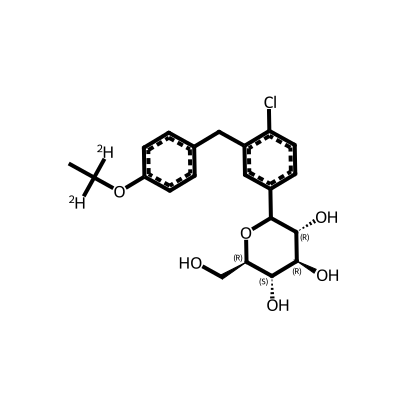 [2H]C([2H])(C)Oc1ccc(Cc2cc(C3O[C@H](CO)[C@@H](O)[C@H](O)[C@H]3O)ccc2Cl)cc1